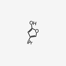 CC(C)c1coc(O)c1